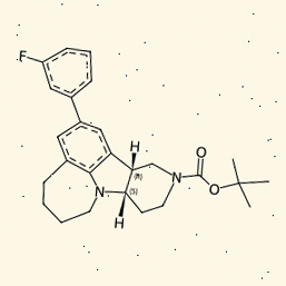 CC(C)(C)OC(=O)N1CC[C@H]2[C@@H](C1)c1cc(-c3cccc(F)c3)cc3c1N2CCCC3